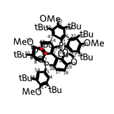 COc1c(C(C)(C)C)cc(P(c2cc(C(C)(C)C)c(OC)c(C(C)(C)C)c2)c2ccc3c(c2-c2c([PH]([Cu])(c4cc(C(C)(C)C)c(OC)c(C(C)(C)C)c4)c4cc(C(C)(C)C)c(OC)c(C(C)(C)C)c4)ccc4c2OCO4)OCO3)cc1C(C)(C)C